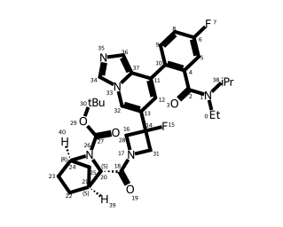 CCN(C(=O)c1cc(F)ccc1-c1cc(C2(F)CN(C(=O)[C@@H]3[C@H]4CC[C@H](C4)N3C(=O)OC(C)(C)C)C2)cn2cncc12)C(C)C